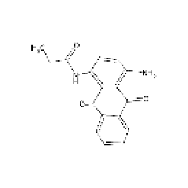 CCC(=O)Nc1ccc(N)c2c1C(=O)c1ccccc1C2=O